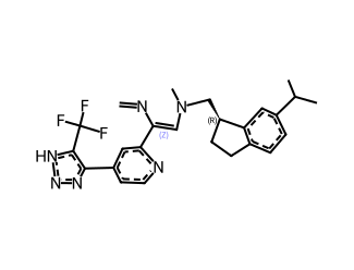 C=N/C(=C\N(C)C[C@@H]1CCc2ccc(C(C)C)cc21)c1cc(-c2nn[nH]c2C(F)(F)F)ccn1